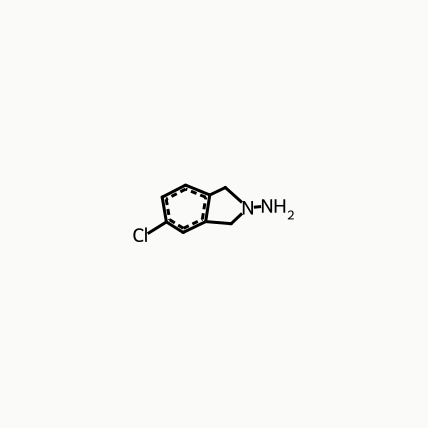 NN1Cc2ccc(Cl)cc2C1